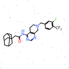 O=C(CC12CC3CC(CC(C3)C1)C2)Nc1ncnc2c1CCN(Cc1ccc(C(F)(F)F)c(F)c1)C2